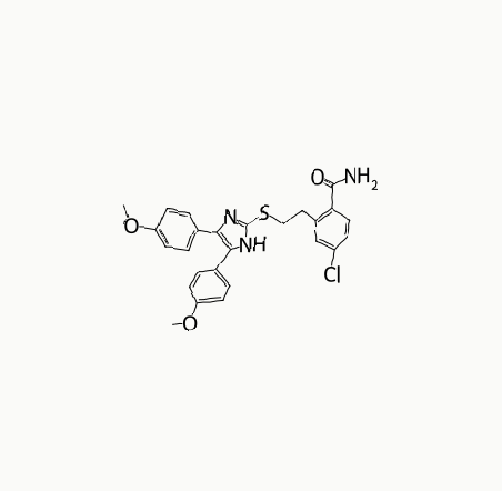 COc1ccc(-c2nc(SCCc3cc(Cl)ccc3C(N)=O)[nH]c2-c2ccc(OC)cc2)cc1